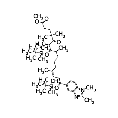 COC(=O)CCC(C)(C)C(=O)[C@H](C)[C@@H](O[Si](C)(C)C(C)(C)C)[C@@H](C)CCC/C(C)=C\C[C@H](O[Si](C)(C)C(C)(C)C)c1ccc2c(c1)nc(C)n2C